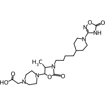 CC1C(N2CCN(CC(=O)O)CC2)OC(=O)N1CCCCC1CCN(c2noc(=O)[nH]2)CC1